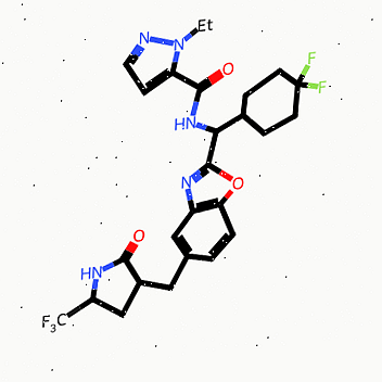 CCn1nccc1C(=O)NC(c1nc2cc(CC3CC(C(F)(F)F)NC3=O)ccc2o1)C1CCC(F)(F)CC1